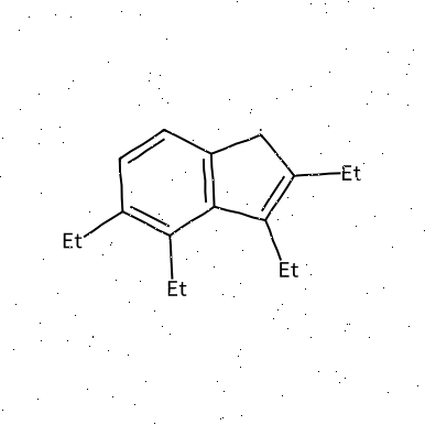 CCC1=C(CC)c2c(ccc(CC)c2CC)[CH]1